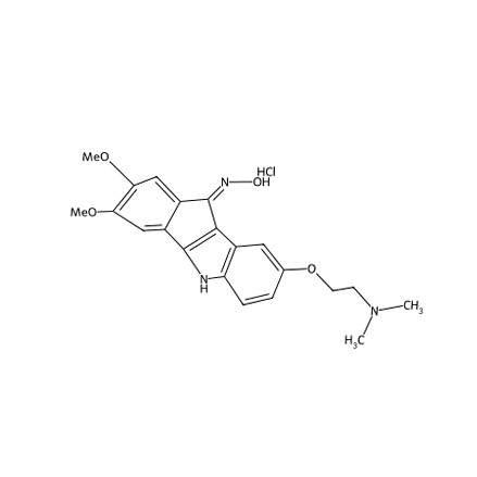 COc1cc2c(cc1OC)-c1[nH]c3ccc(OCCN(C)C)cc3c1C2=NO.Cl